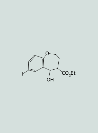 CCOC(=O)C1CCOc2ccc(I)cc2C1O